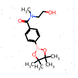 CN(CCO)C(=O)c1ccc(B2OC(C)(C)C(C)(C)O2)cc1